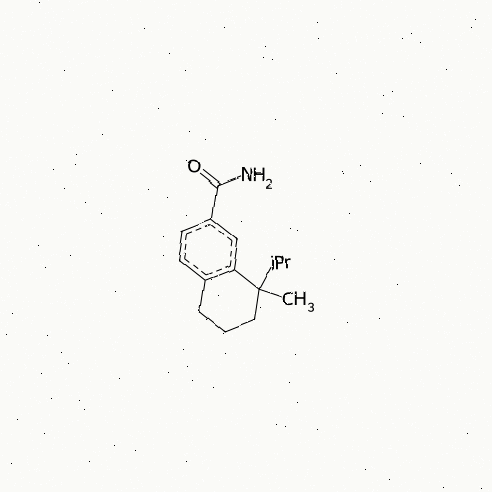 CC(C)C1(C)CCCc2ccc(C(N)=O)cc21